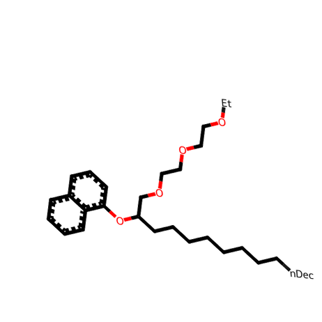 CCCCCCCCCCCCCCCCCCC(COCCOCCOCC)Oc1cccc2ccccc12